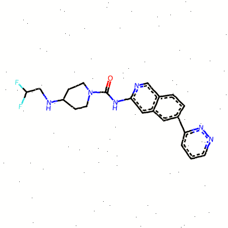 O=C(Nc1cc2cc(-c3cccnn3)ccc2cn1)N1CCC(NCC(F)F)CC1